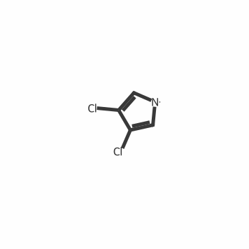 ClC1=C[N]C=C1Cl